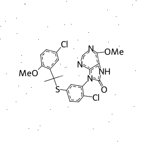 COc1ccc(Cl)cc1C(C)(C)Sc1ccc(Cl)c(-n2c(=O)[nH]c3c(OC)ncnc32)c1